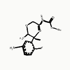 CC(C)(C)OC(=O)NC1=NC(C)(c2cc(N)ccc2F)C(C(F)(F)F)OC1